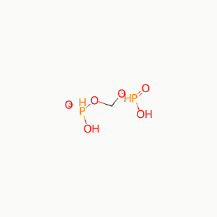 O=[PH](O)OCO[PH](=O)O